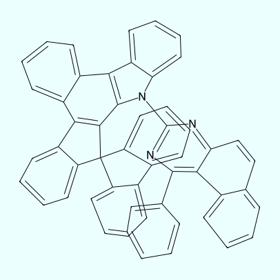 c1ccc(-c2nc(-n3c4ccccc4c4c5ccccc5c5c(c43)C3(c4ccccc4-c4ccccc43)c3ccccc3-5)nc3ccc4ccccc4c23)cc1